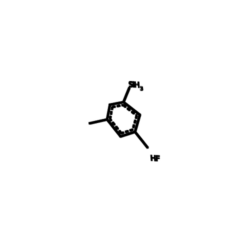 Cc1cc(C)cc([SiH3])c1.F